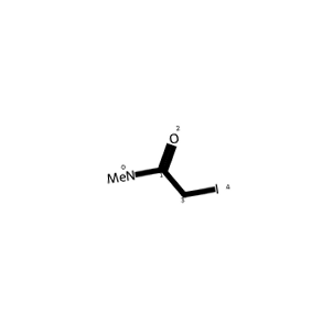 CNC(=O)CI